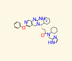 NC1=Nc2cnc(Oc3ccccc3)cc2CN1[C@@H](CCC(=O)N(Cc1ncc[nH]1)C1CCCCC1)C1CCCCC1